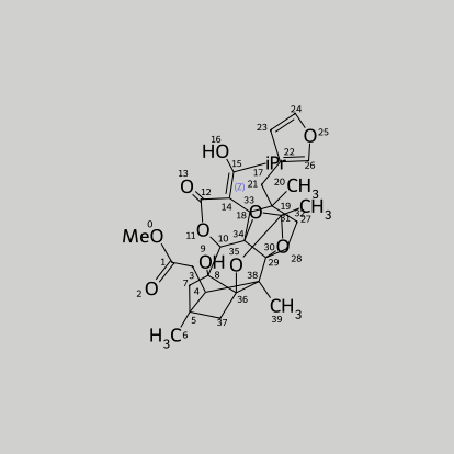 COC(=O)CC1C2(C)CC3(O)C4OC(=O)/C(=C(\O)C(C)C)C5C(C)(Cc6ccoc6)CCC67OC(C)(OC546)OC3(C2)C17C